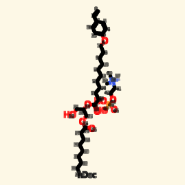 C=Cc1ccc(OCCCCCCCCCCC(=O)OC(CO)COC(=O)CCCCCCCCCCCCCCCCC)cc1.C[N+](C)(C)CCOP(=O)(O)O